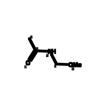 COCNC(C)=O